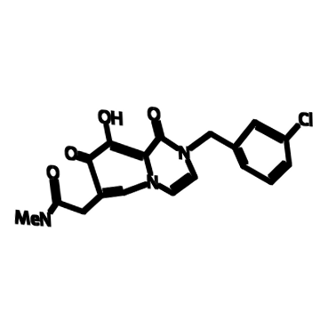 CNC(=O)Cc1cn2ccn(Cc3cccc(Cl)c3)c(=O)c2c(O)c1=O